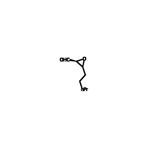 CCCCCC1O[C@@H]1C=O